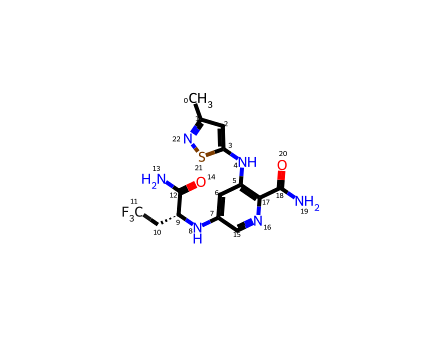 Cc1cc(Nc2cc(N[C@H](CC(F)(F)F)C(N)=O)cnc2C(N)=O)sn1